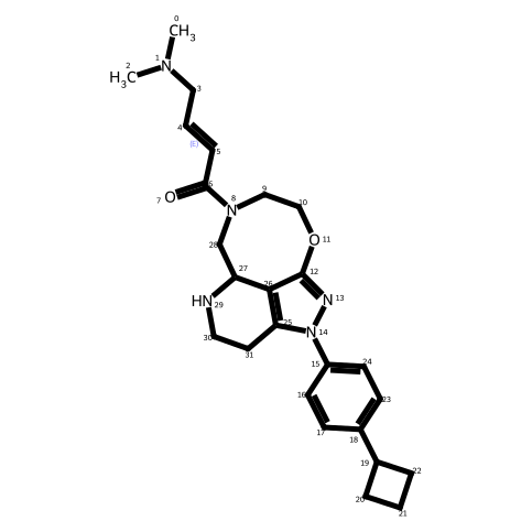 CN(C)C/C=C/C(=O)N1CCOc2nn(-c3ccc(C4CCC4)cc3)c3c2C(C1)NCC3